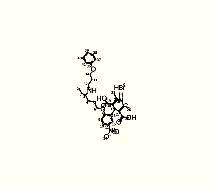 Br.CCC(CCCOc1ccc([N+](=O)[O-])cc1C1C(C(=O)O)=C(C)NC(C)=C1C(=O)O)NCCCOc1ccccc1